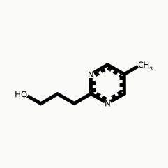 Cc1cnc(CCCO)nc1